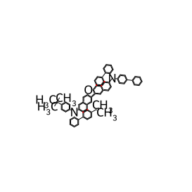 CC(C)c1ccc(-c2ccccc2N(c2ccc(C(C)(C)C)cc2)c2ccc3cc4c(cc3c2)oc2cc3cc(N(c5ccc(-c6ccccc6)cc5)c5ccccc5-c5ccccc5)ccc3cc24)cc1